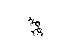 CC[C@H]1O[C@@H]([n+]2cccc(C(=O)OC(C)C)c2)[C@H](OC(C)=O)[C@@H]1C